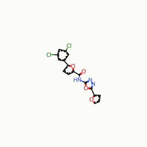 O=C(Nc1nnc(-c2ccco2)o1)c1ccc(-c2cc(Cl)cc(Cl)c2)o1